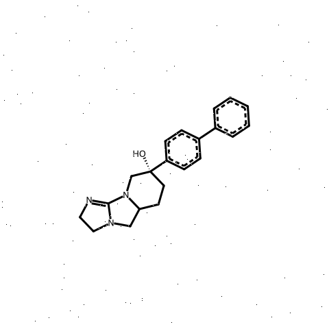 O[C@]1(c2ccc(-c3ccccc3)cc2)CCC2CN3CCN=C3N2C1